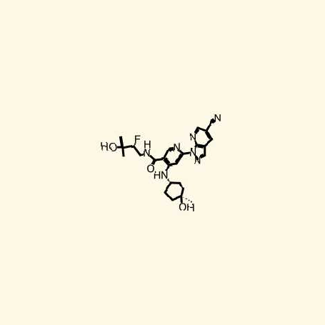 CC(C)(O)[C@H](F)CNC(=O)c1cnc(-n2ncc3cc(C#N)cnc32)cc1N[C@H]1CC[C@](C)(O)CC1